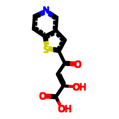 O=C(O)C(O)=CC(=O)c1cc2cnccc2s1